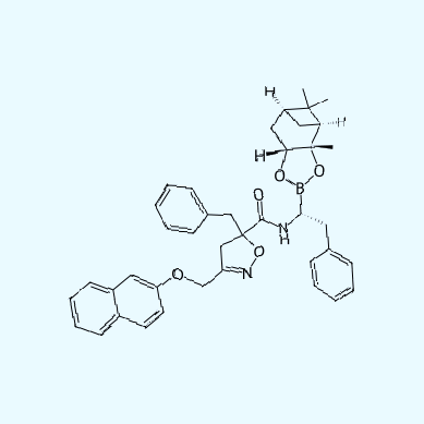 CC1(C)[C@@H]2C[C@H]3OB([C@H](Cc4ccccc4)NC(=O)C4(Cc5ccccc5)CC(COc5ccc6ccccc6c5)=NO4)O[C@@]3(C)[C@H]1C2